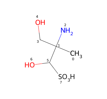 CC(N)(CO)C(O)S(=O)(=O)O